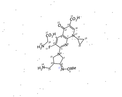 CO/N=C1\CN(c2nc3c(cc2F)c(=O)c(C(=O)O)cn3C2CC2)CC1CN.NCC(=O)O